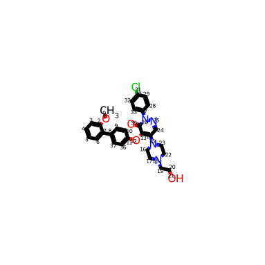 COc1ccccc1-c1ccc(Oc2c(N3CCN(CCO)CC3)cnn(-c3ccc(Cl)cc3)c2=O)cc1